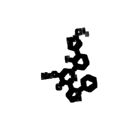 COc1cn(-c2cccc(-c3cnn(C)c3)c2F)nc(-c2ccnn2-c2ccccc2)c1=O